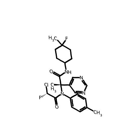 Cc1ccc(N(C(=O)[C@H](F)Cl)[C@](C)(C(=O)NC2CCC(C)(F)CC2)c2cncnc2)cc1